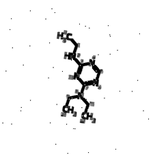 CCNc1ncnc(N(CC)CC)n1